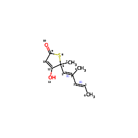 C/C=C/C(C)=C/C1(C)SC(=O)C=C1O